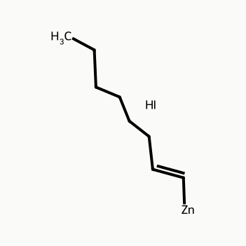 CCCCCCC=[CH][Zn].I